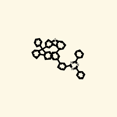 c1ccc(-c2nc(-c3ccccc3)nc(-c3cccc(-c4cccc(-c5cccc6sc7ccc(C8(c9ccccc9)c9ccccc9-c9ccccc98)cc7c56)c4)c3)n2)cc1